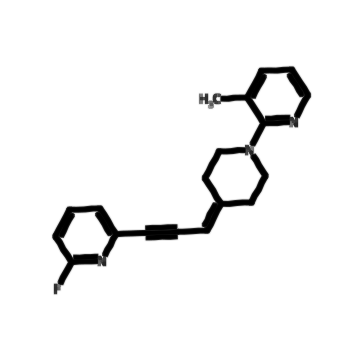 Cc1cccnc1N1CCC(=CC#Cc2cccc(F)n2)CC1